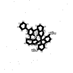 CC(C)(C)c1ccc2c(c1)C1(c3cc(C(C)(C)C)ccc3-2)c2ccc3cccc4c3c2N2c3c-4cc(-c4ccccc4)cc3-c3cccc4ccc1c2c34